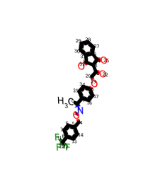 CC(=NOCc1ccc(C(F)(F)F)cc1)c1ccc(OCC(=O)C2C(=O)c3ccccc3C2=O)cc1